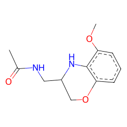 COc1cccc2c1NC(CNC(C)=O)CO2